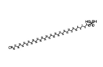 O=P(O)(O)OCCCCCCCCCCCCCCCCCCCCCCCCCCCCCCCCCCCl